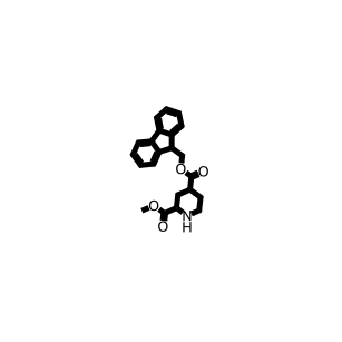 COC(=O)C1CC(C(=O)OCC2c3ccccc3-c3ccccc32)CCN1